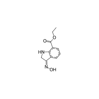 CCOC(=O)c1cccc2c1NC/C2=N/O